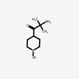 CC(C)N1CCC(C(=O)C(C)(C)N)CC1